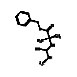 CNC(O)NC(C)(C)C(=O)OCc1ccccc1